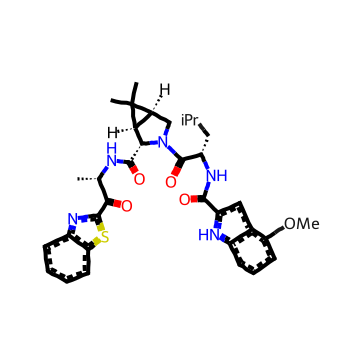 COc1cccc2[nH]c(C(=O)N[C@@H](CC(C)C)C(=O)N3C[C@H]4[C@@H]([C@H]3C(=O)N[C@@H](C)C(=O)c3nc5ccccc5s3)C4(C)C)cc12